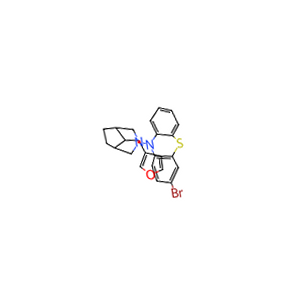 Brc1ccc2c(c1)Sc1ccccc1N2N1CC2CCC(C1)C2Cc1ccoc1